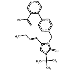 CC/C=C/c1cn(C(C)(C)C)c(=O)n1Cc1ccc(-c2ccccc2C(=O)O)cc1